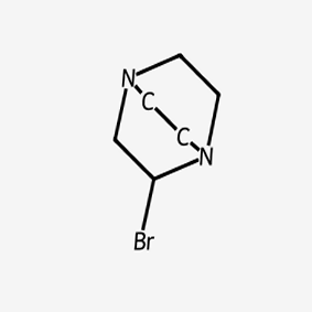 BrC1CN2CCN1CC2